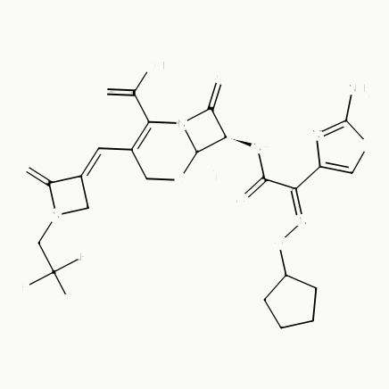 Nc1nc(/C(=N/OC2CCCC2)C(=O)N[C@@H]2C(=O)N3C(C(=O)O)=C(C=C4CN(CC(F)(F)F)C4=O)CS[C@H]23)cs1